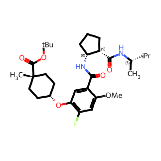 COc1cc(F)c(O[C@H]2CC[C@@](C)(C(=O)OC(C)(C)C)CC2)cc1C(=O)N[C@@H]1CCC[C@@H]1C(=O)N[C@@H](C)C(C)C